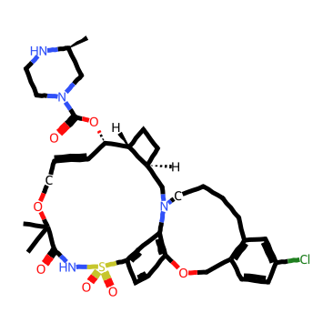 C[C@H]1CN(C(=O)O[C@H]2/C=C/COC(C)(C)C(=O)NS(=O)(=O)c3ccc4c(c3)N(CCCCc3cc(Cl)ccc3CO4)C[C@@H]3CC[C@H]32)CCN1